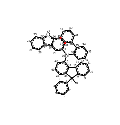 CC1(c2ccccc2)c2ccccc2-c2c(N(c3ccc4oc5ccccc5c4c3)c3ccccc3-c3ccccc3)cccc21